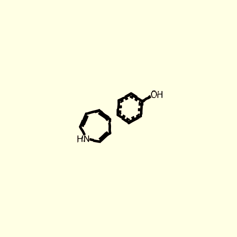 C1=CC=CNC=C1.Oc1ccccc1